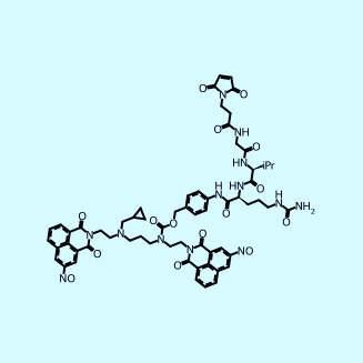 CC(C)[C@H](NC(=O)CNC(=O)CCN1C(=O)C=CC1=O)C(=O)N[C@@H](CCCNC(N)=O)C(=O)Nc1ccc(COC(=O)N(CCCN(CCN2C(=O)c3cccc4cc(N=O)cc(c34)C2=O)CC2CC2)CCN2C(=O)c3cccc4cc(N=O)cc(c34)C2=O)cc1